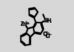 C[SiH](C)c1ccc2c(c1C1=CC=CC1)[CH]([Zr+2])c1ccccc1-2.[Cl-].[Cl-]